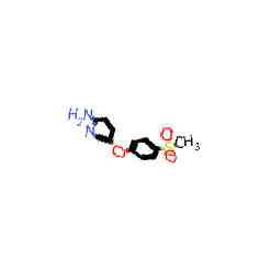 CS(=O)(=O)c1ccc(Oc2ccc(N)nc2)cc1